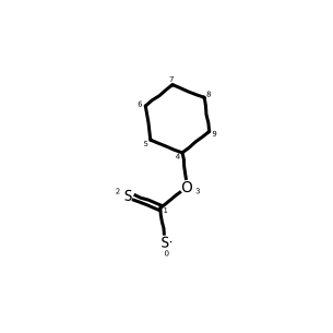 [S]C(=S)OC1CCCCC1